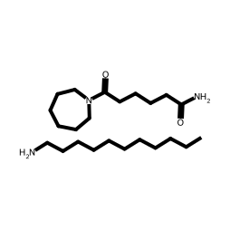 CCCCCCCCCCCN.NC(=O)CCCCC(=O)N1CCCCCC1